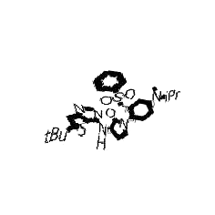 CC(C)N(C)[C@@H]1CC[C@H](N2CC[C@H](Nc3ncnc4cc(C(C)(C)C)sc34)C2=O)[C@H](CS(=O)(=O)c2ccccc2)C1